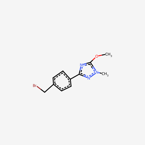 COc1nc(-c2ccc(CBr)cc2)nn1C